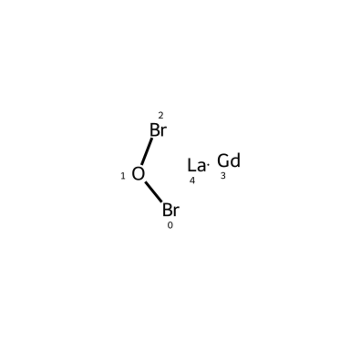 BrOBr.[Gd].[La]